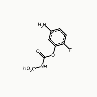 Nc1ccc(F)c(OC(=O)NC(=O)O)c1